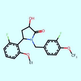 CCOc1cccc(F)c1C1CC(O)C(=O)N1Cc1ccc(OC(F)(F)F)c(F)c1